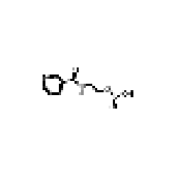 O=C(NCCON(O)O)c1cccnc1